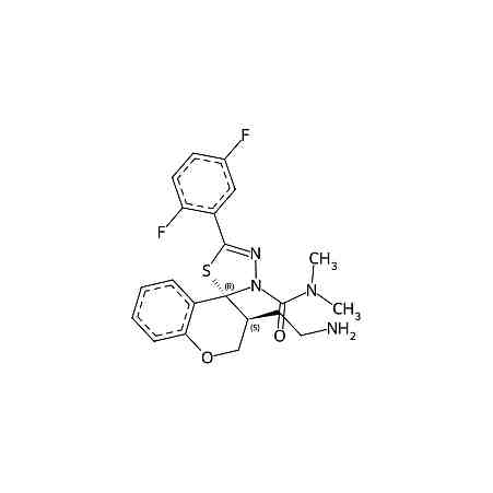 CN(C)C(=O)N1N=C(c2cc(F)ccc2F)S[C@]12c1ccccc1OC[C@@H]2CCN